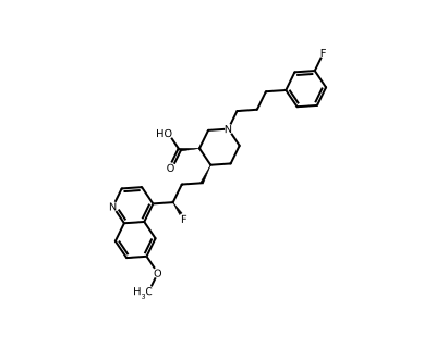 COc1ccc2nccc([C@H](F)CC[C@@H]3CCN(CCCc4cccc(F)c4)C[C@@H]3C(=O)O)c2c1